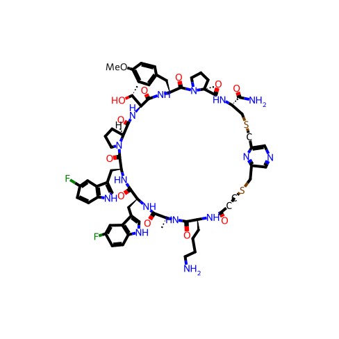 COc1ccc(C[C@@H]2NC(=O)[C@H]([C@@H](C)O)NC(=O)[C@@H]3CCCN3C(=O)[C@H](Cc3c[nH]c4ccc(F)cc34)NC(=O)[C@H](Cc3c[nH]c4ccc(F)cc34)NC(=O)[C@@H](C)NC(=O)[C@H](CCCCN)NC(=O)CCSCc3cncc(n3)CSC[C@@H](C(N)=O)NC(=O)[C@]3(C)CCCN3C2=O)cc1